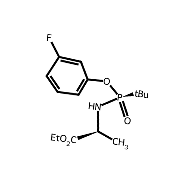 CCOC(=O)[C@H](C)N[P@@](=O)(Oc1cccc(F)c1)C(C)(C)C